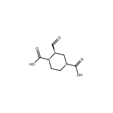 O=C[C@H]1CN(C(=O)O)CCN1C(=O)O